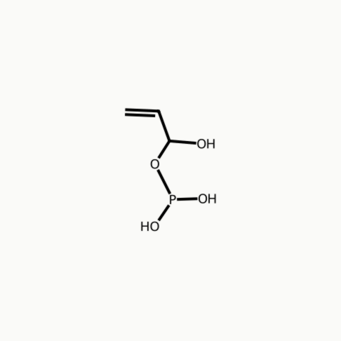 C=CC(O)OP(O)O